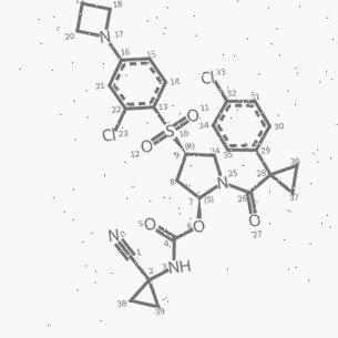 N#CC1(NC(=O)O[C@H]2C[C@@H](S(=O)(=O)c3ccc(N4CCC4)cc3Cl)CN2C(=O)C2(c3ccc(Cl)cc3)CC2)CC1